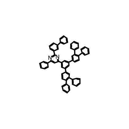 c1ccc(-c2cccc(-c3nc(-c4ccccc4)cc(-c4cc(-c5ccc(-c6ccccc6)c(-c6ccccc6)c5)cc(-c5ccc(-c6ccccc6)c(-c6ccccc6)c5)c4)n3)c2)cc1